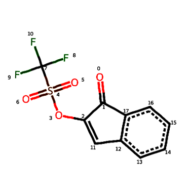 O=C1C(OS(=O)(=O)C(F)(F)F)=Cc2ccccc21